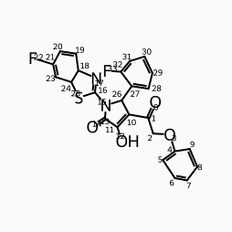 O=C(COc1ccccc1)C1=C(O)C(=O)N(C2=NC3C=CC(F)=CC3S2)C1c1ccccc1F